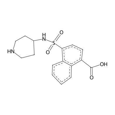 O=C(O)c1ccc(S(=O)(=O)NC2CCNCC2)c2ccccc12